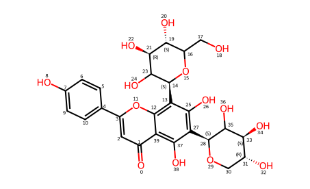 O=c1cc(-c2ccc(O)cc2)oc2c([C@@H]3OC(CO)[C@@H](O)[C@H](O)C3O)c(O)c([C@@H]3OC[C@@H](O)[C@H](O)C3O)c(O)c12